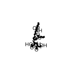 C=CCOC(=O)NC/C=C/[C@@H]1C[C@H](SC2=C(C(=O)O)N3C(=O)[C@H]([C@@H](C)O)[C@H]3[C@H]2C)CN1C(=O)OCC=C